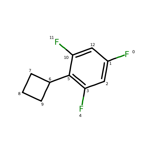 Fc1cc(F)c(C2CCC2)c(F)c1